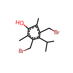 Cc1c(O)c(C)c(CBr)c(C(C)C)c1CBr